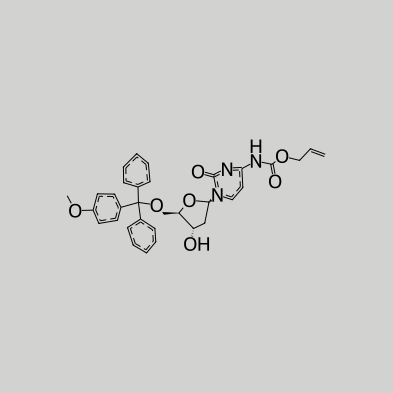 C=CCOC(=O)Nc1ccn([C@H]2C[C@H](O)[C@@H](COC(c3ccccc3)(c3ccccc3)c3ccc(OC)cc3)O2)c(=O)n1